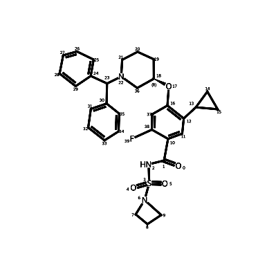 O=C(NS(=O)(=O)N1CCC1)c1cc(C2CC2)c(O[C@@H]2CCCN(C(c3ccccc3)c3ccccc3)C2)cc1F